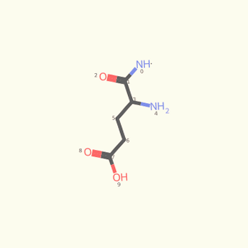 [NH]C(=O)C(N)CCC(=O)O